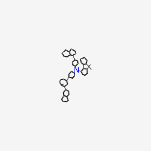 CC1(C)c2ccccc2-c2c(N(c3ccc(-c4cccc(-c5ccc6ccccc6c5)c4)cc3)c3ccc(-c4cccc5ccccc45)cc3)cccc21